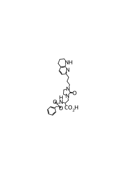 O=C(O)[C@H](CN1CCN(CCCc2ccc3c(n2)NCCC3)C1=O)NS(=O)(=O)c1ccccc1